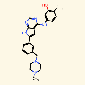 Cc1ccc(Nc2ncnc3[nH]c(-c4cccc(CN5CCN(C)CC5)c4)cc23)cc1O